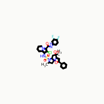 CC1CCC(CC(C)(O)c2cc(-c3ccccc3)on2)N1S(=O)(=O)Nc1c(Cl)c(C(=O)Nc2ccc(F)c(F)c2)n2ccccc12